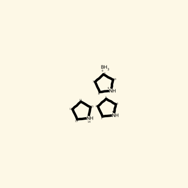 B.C1CCNC1.C1CCNC1.C1CCNC1